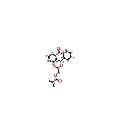 C=C(C)C(=O)OCC(=O)OC1c2ccccc2C(=O)c2ccccc21